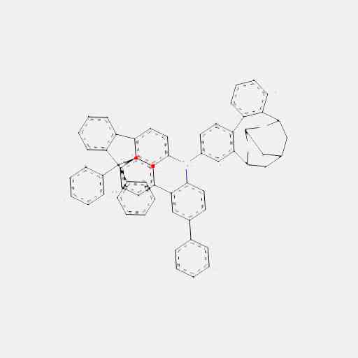 c1ccc(-c2ccc(N(c3ccc4c(c3)C3CC5CC(CC(C5)c5ccccc5-4)C3)c3ccc4c(c3)C(c3ccccc3)(c3ccccc3)c3ccccc3-4)c(-c3ccccc3)c2)cc1